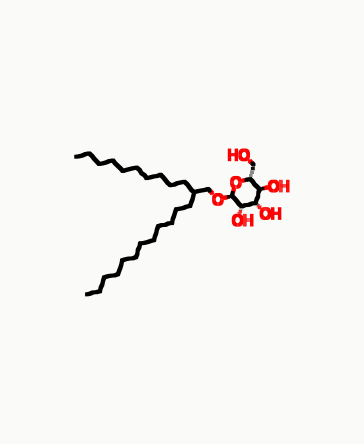 CCCCCCCCCCCCC(CCCCCCCCCC)CO[C@H]1O[C@H](CO)[C@@H](O)[C@H](O)[C@@H]1O